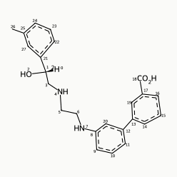 [2H][C@](O)(CNCCNc1cccc(-c2cccc(C(=O)O)c2)c1)c1cccc(C)c1